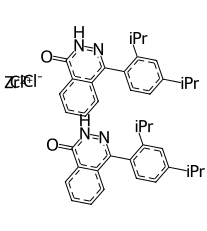 CC(C)c1ccc(-c2n[nH]c(=O)c3ccccc23)c(C(C)C)c1.CC(C)c1ccc(-c2n[nH]c(=O)c3ccccc23)c(C(C)C)c1.[Cl-].[Cl-].[Zr+2]